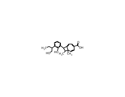 CCC(CO)c1cccc(C2C3=CC=C(C(=O)O)C=CC3(C)C2C)c1O